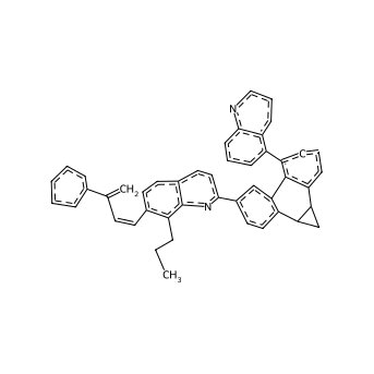 C=C(/C=C\c1ccc2ccc(-c3ccc4c(c3)-c3c(-c5cccc6ncccc56)cccc3C3CC43)nc2c1CCC)c1ccccc1